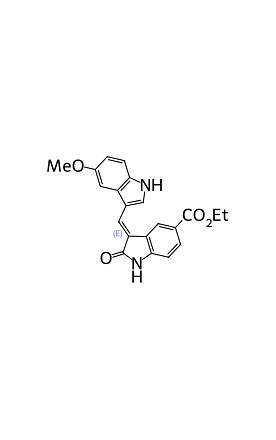 CCOC(=O)c1ccc2c(c1)/C(=C\c1c[nH]c3ccc(OC)cc13)C(=O)N2